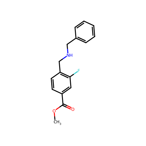 COC(=O)c1ccc(CNCc2ccccc2)c(F)c1